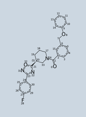 O=C(c1cccc(COc2ccccc2)c1)N1CCC[C@H](c2nc(-c3ccc(F)cc3)no2)C1